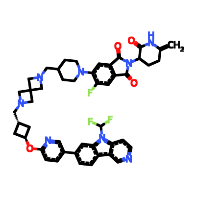 C=C1CCC(N2C(=O)c3cc(F)c(N4CCC(CN5CC6(C5)CN(C[C@H]5C[C@H](Oc7ccc(-c8ccc9c%10cnccc%10n(C(F)F)c9c8)cn7)C5)C6)CC4)cc3C2=O)C(=O)N1